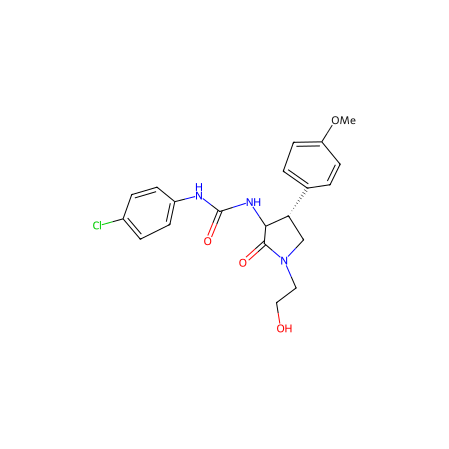 COc1ccc([C@@H]2CN(CCO)C(=O)C2NC(=O)Nc2ccc(Cl)cc2)cc1